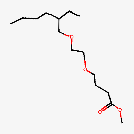 CCCCC(CC)COCCOCCCC(=O)OC